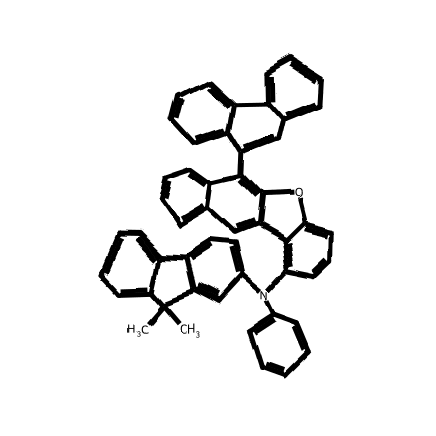 CC1(C)c2ccccc2-c2ccc(N(c3ccccc3)c3cccc4oc5c(-c6cc7ccccc7c7ccccc67)c6ccccc6cc5c34)cc21